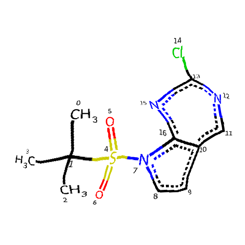 CC(C)(C)S(=O)(=O)n1ccc2cnc(Cl)nc21